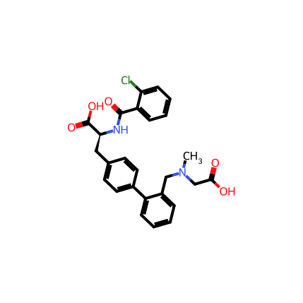 CN(CC(=O)O)Cc1ccccc1-c1ccc(C[C@H](NC(=O)c2ccccc2Cl)C(=O)O)cc1